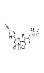 CC#Cc1ccc(-c2cc(=O)[nH]c(-c3c(Cl)ccc(CNC(=O)C(C)C)c3F)n2)nc1